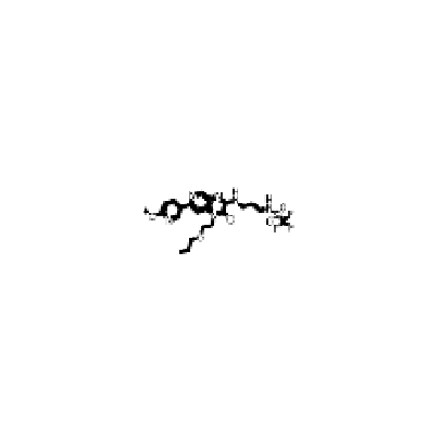 CCCOCCn1c(=O)c(NCCCNS(=O)(=O)C(F)(F)F)nc2cnc(-c3ccc(OC)nc3)cc21